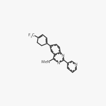 CNc1nc(-c2cccnc2)nc2ccc(C3=CC=C(C(F)(F)F)CC3)cc12